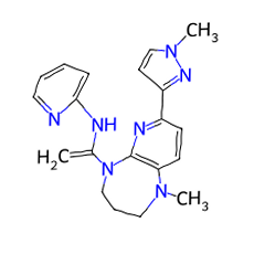 C=C(Nc1ccccn1)N1CCCN(C)c2ccc(-c3ccn(C)n3)nc21